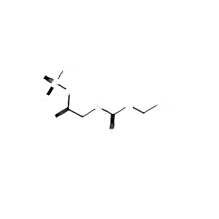 O=C(CNC(=O)OCC(Cl)(Cl)Cl)OS(=O)(=O)C(F)(F)F